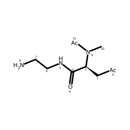 CC(=O)C[C@@H](C(=O)NCCN)N(C)C(C)=O